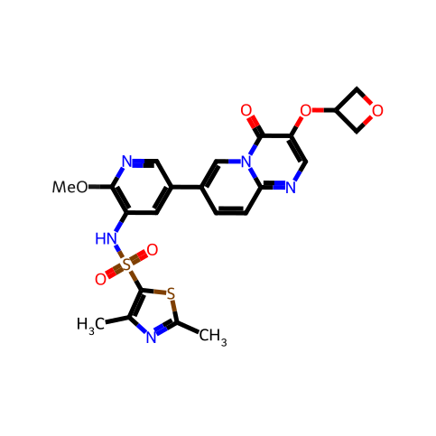 COc1ncc(-c2ccc3ncc(OC4COC4)c(=O)n3c2)cc1NS(=O)(=O)c1sc(C)nc1C